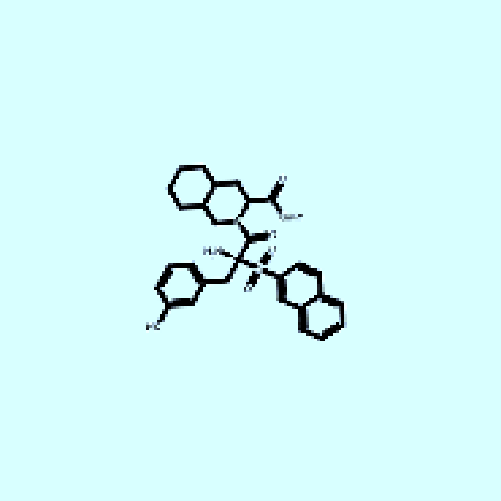 COC(=O)C1CC2CCCCC2CN1C(=O)[C@@](N)(Cc1cccc(C#N)c1)S(=O)(=O)c1ccc2ccccc2c1